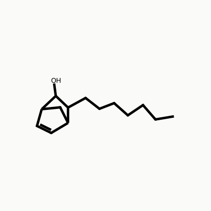 CCCCCCCC1C2C=CC(C2)C1O